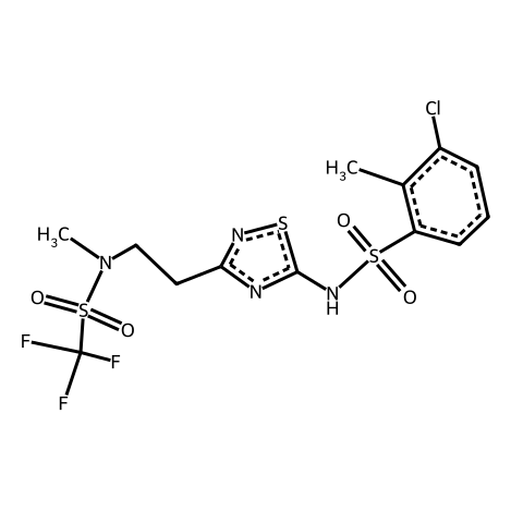 Cc1c(Cl)cccc1S(=O)(=O)Nc1nc(CCN(C)S(=O)(=O)C(F)(F)F)ns1